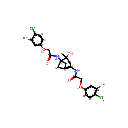 CC1(O)CC(NC(=O)COc2ccc(Cl)c(F)c2)=C2CC1(NC(=O)COc1ccc(Cl)c(F)c1)C2